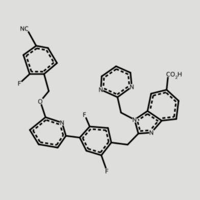 N#Cc1ccc(COc2cccc(-c3cc(F)c(Cc4nc5ccc(C(=O)O)cc5n4Cc4ncccn4)cc3F)n2)c(F)c1